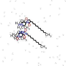 CCCCCCCCCCCCC1CC(=O)N(C2CC(C)(C)NC(C)(C)C2)C1=O.CCCCCCCCCCCCN1C(=O)NC2(CC(C)(C)N(C(C)=O)C(C)(C)C2)C1=O